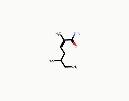 CCC(C)CC=C(C)C(N)=O